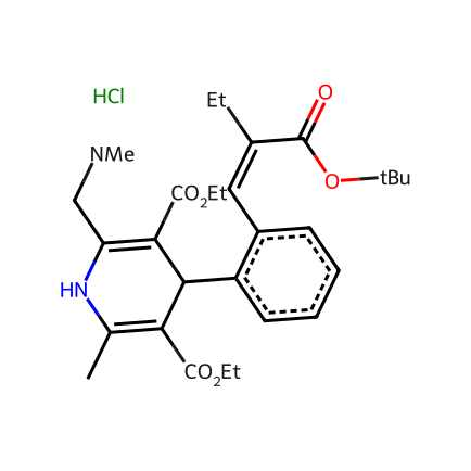 CCOC(=O)C1=C(C)NC(CNC)=C(C(=O)OCC)C1c1ccccc1C=C(CC)C(=O)OC(C)(C)C.Cl